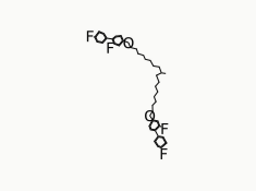 CC(CCCCCCCCOc1ccc(-c2ccc(F)cc2)c(F)c1)CCCCCCCCOc1ccc(-c2ccc(F)cc2)c(F)c1